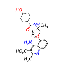 Cc1nc2cccc(OCC(C)(C)NC(=O)[C@H]3CC[C@H](O)CC3)c2c(N)c1C(=O)O